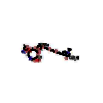 CC[C@H]1OC(=O)[C@H](C)[C@@H](O[C@H]2C[C@@](C)(OC)[C@@H](OCCCOCCCOCCCc3ccc4c(c3)c(=O)c(C(=O)O)cn4C3CC3)[C@H](C)O2)[C@H](C)[C@@H](O[C@@H]2O[C@H](C)C[C@H](N(C)C)[C@H]2O)[C@](C)(O)C[C@@H](C)CN(C)[C@H](C)[C@@H](O)[C@]1(C)O